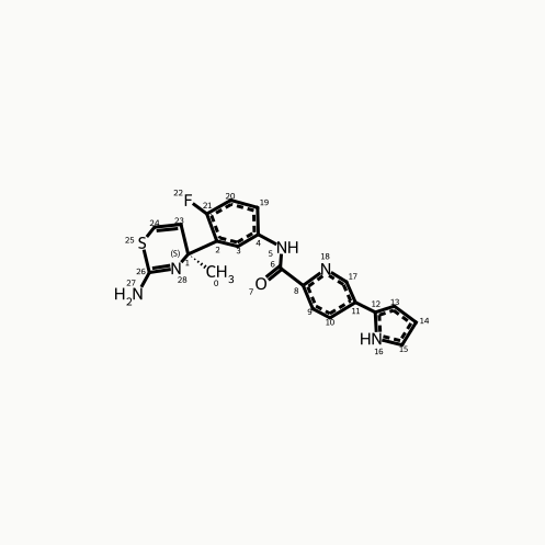 C[C@@]1(c2cc(NC(=O)c3ccc(-c4ccc[nH]4)cn3)ccc2F)C=CSC(N)=N1